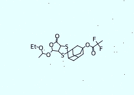 CCOC(C)OC1OC(=O)C2SC3(SC12)C1CC2CC3CC(OC(=O)C(C)(F)F)(C2)C1